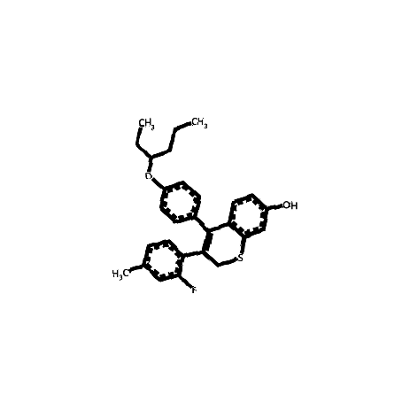 CCCC(CC)Oc1ccc(C2=C(c3ccc(C)cc3F)CSc3cc(O)ccc32)cc1